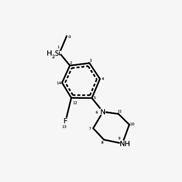 C[SiH2]c1ccc(N2CCNCC2)c(F)c1